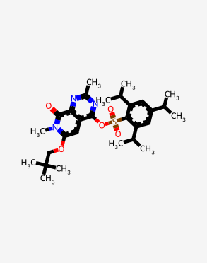 Cc1nc(OS(=O)(=O)c2c(C(C)C)cc(C(C)C)cc2C(C)C)c2cc(OCC(C)(C)C)n(C)c(=O)c2n1